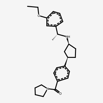 CCOc1cccc([C@@H](C)N[C@H]2CC[C@@H](c3ccc(C(=O)N4CCCC4)cc3)C2)c1